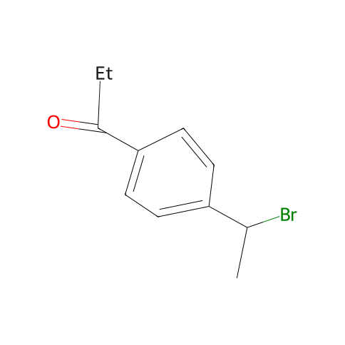 CCC(=O)c1ccc(C(C)Br)cc1